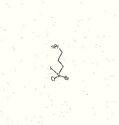 CCCCCC[Si](Cl)(Br)I